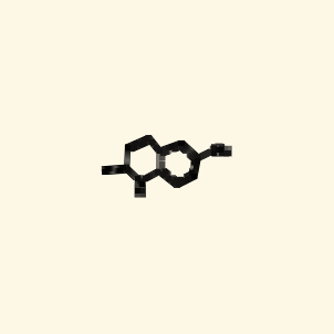 C=C1C=Cc2cc(C(C)(C)C)ccc2N1